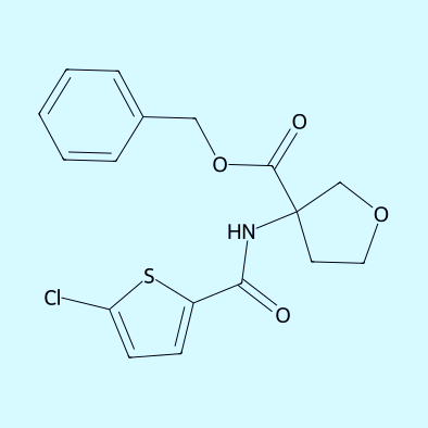 O=C(NC1(C(=O)OCc2ccccc2)CCOC1)c1ccc(Cl)s1